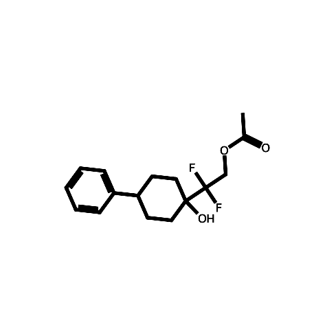 CC(=O)OCC(F)(F)C1(O)CCC(c2ccccc2)CC1